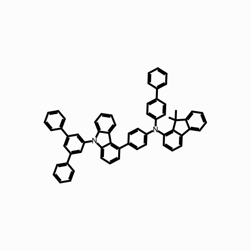 CC1(C)c2ccccc2-c2cccc(N(c3ccc(-c4ccccc4)cc3)c3ccc(-c4cccc5c4c4ccccc4n5-c4cc(-c5ccccc5)cc(-c5ccccc5)c4)cc3)c21